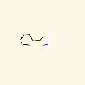 Cc1nn(C(=O)O)cc1-c1ccccc1